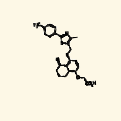 Cc1nc(-c2ccc(C(F)(F)F)cc2)sc1CSc1ccc(OCC(=O)O)c2c1C(=O)CCC2